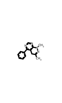 CC1=NN(C)c2ncnc(-c3ccccc3)c2C1